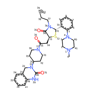 CN1CCN(c2ccccc2[C@@H]2S[C@@H](CC(=O)N3CCC(N4Cc5ccccc5NC4=O)CC3)C(=O)N2CCC(C)(C)C)CC1